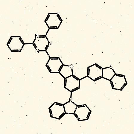 c1ccc(-c2nc(-c3ccccc3)nc(-c3ccc4c(c3)oc3c(-c5ccc6sc7ccccc7c6c5)cc(-n5c6ccccc6c6ccccc65)cc34)n2)cc1